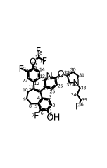 Oc1ccc2c(c1F)CCCC(c1ccc(OC(F)F)c(F)c1)=C2c1ccc(O[C@H]2CCN(CCCF)C2)nc1